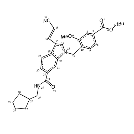 COc1cc(C(=O)OC(C)(C)C)ccc1Cn1cc(/C=C/C#N)c2ccc(C(=O)NCC3CCCC3)cc21